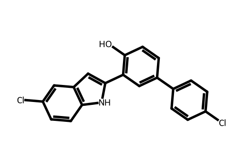 Oc1ccc(-c2ccc(Cl)cc2)cc1-c1cc2cc(Cl)ccc2[nH]1